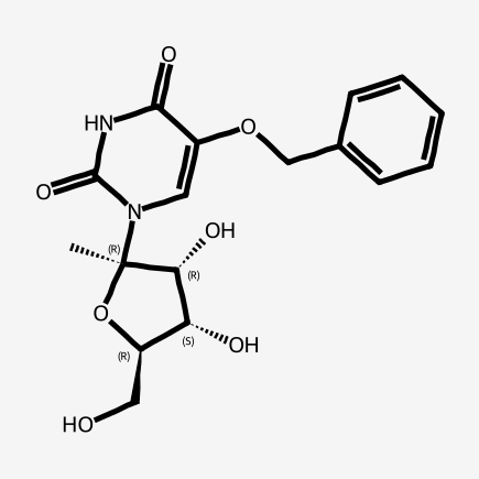 C[C@@]1(n2cc(OCc3ccccc3)c(=O)[nH]c2=O)O[C@H](CO)[C@@H](O)[C@H]1O